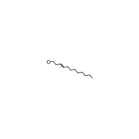 CCCCCCCC/C=C/CC[O]